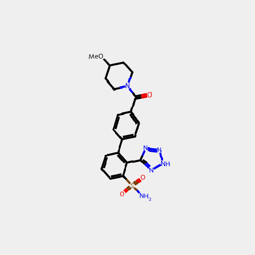 COC1CCN(C(=O)c2ccc(-c3cccc(S(N)(=O)=O)c3-c3nn[nH]n3)cc2)CC1